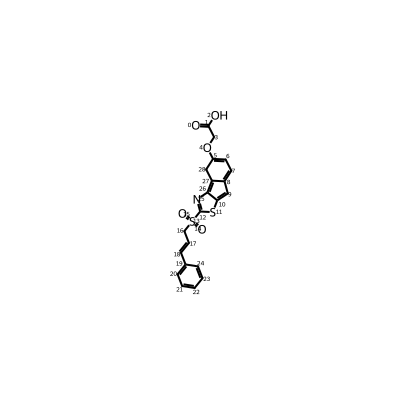 O=C(O)COC1=CC=C2C=c3sc(S(=O)(=O)CC=Cc4ccccc4)nc3=C2C1